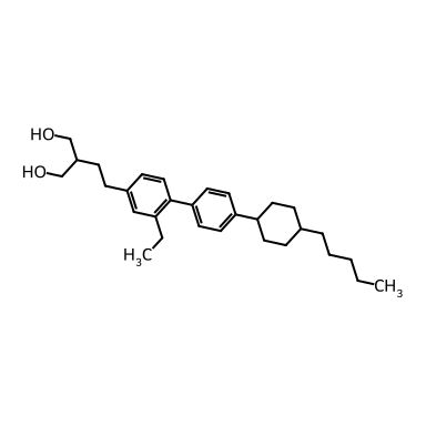 CCCCCC1CCC(c2ccc(-c3ccc(CCC(CO)CO)cc3CC)cc2)CC1